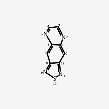 [c]1c2nccnc2[c]c2nsnc12